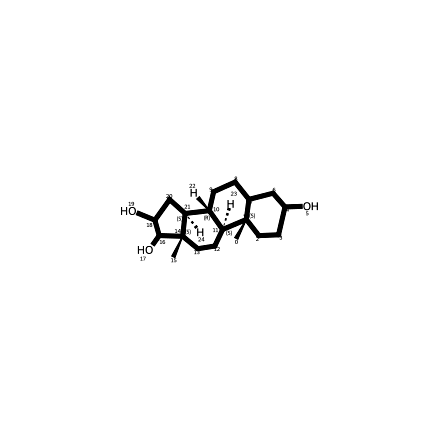 C[C@]12CCC(O)CC1CC[C@@H]1[C@@H]2CC[C@]2(C)C(O)C(O)C[C@@H]12